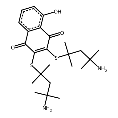 CC(C)(N)CC(C)(C)SC1=C(SC(C)(C)CC(C)(C)N)C(=O)c2c(O)cccc2C1=O